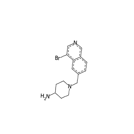 NC1CCN(Cc2ccc3cncc(Br)c3c2)CC1